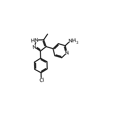 Cc1[nH]nc(-c2ccc(Cl)cc2)c1-c1ccnc(N)c1